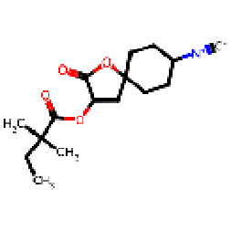 [C-]#[N+]C1CCC2(CC1)CC(OC(=O)C(C)(C)CC)C(=O)O2